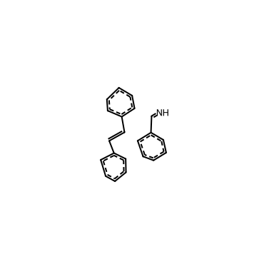 C(=Cc1ccccc1)c1ccccc1.N=Cc1ccccc1